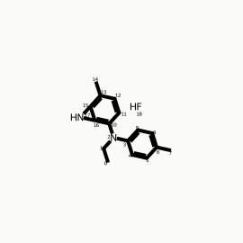 CCN(c1ccc(C)cc1)c1ccc(C)c2c1N2.F